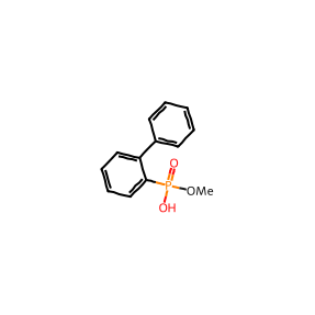 COP(=O)(O)c1ccccc1-c1ccccc1